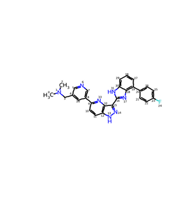 CN(C)Cc1cncc(-c2ccc3[nH]nc(-c4nc5c(-c6ccc(F)cc6)cccc5[nH]4)c3n2)c1